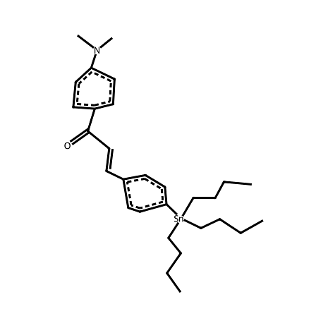 CCC[CH2][Sn]([CH2]CCC)([CH2]CCC)[c]1ccc(/C=C/C(=O)c2ccc(N(C)C)cc2)cc1